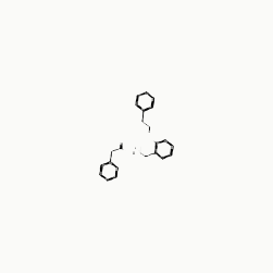 O=C(Cc1ccccc1)ONCc1ccccc1OCCc1ccccc1